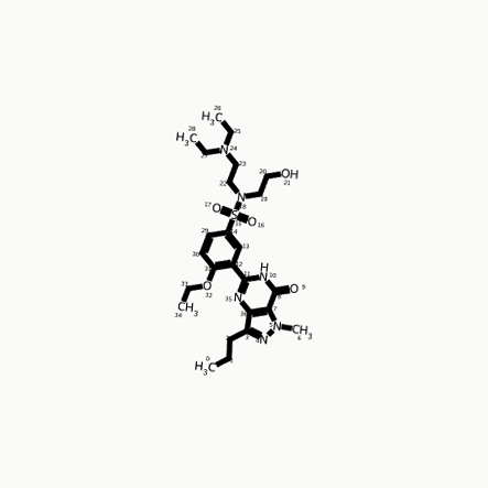 CCCc1nn(C)c2c(=O)[nH]c(-c3cc(S(=O)(=O)N(CCO)CCN(CC)CC)ccc3OCC)nc12